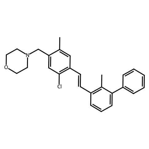 Cc1cc(/C=C/c2cccc(-c3ccccc3)c2C)c(Cl)cc1CN1CCOCC1